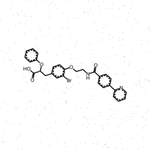 O=C(NCCOc1ccc(CC(Oc2ccccc2)C(=O)O)cc1Br)c1ccc(-c2ccccn2)cc1